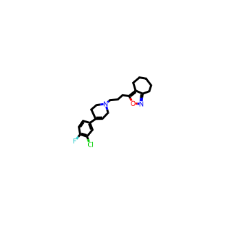 Fc1ccc(C2=CCN(CCCc3onc4c3CCCCC4)CC2)cc1Cl